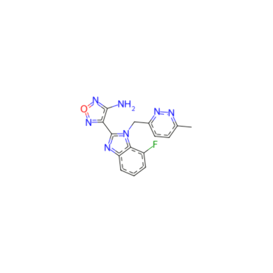 Cc1ccc(Cn2c(-c3nonc3N)nc3cccc(F)c32)nn1